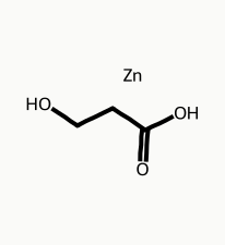 O=C(O)CCO.[Zn]